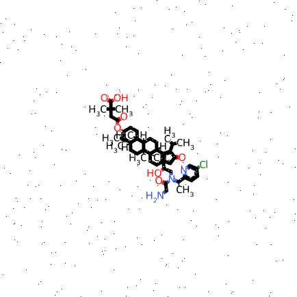 CC(C)C1=C2[C@H]3CC[C@@H]4[C@@]5(C)CC[C@H](OC(=O)CC(C)(C)C(=O)O)C(C)(C)[C@@H]5CC[C@@]4(C)[C@]3(C)CCC2(C(O)CN(C(=O)CN)[C@@H](C)c2ccc(Cl)cn2)CC1=O